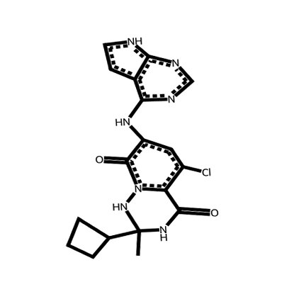 CC1(C2CCC2)NC(=O)c2c(Cl)cc(Nc3ncnc4[nH]ccc34)c(=O)n2N1